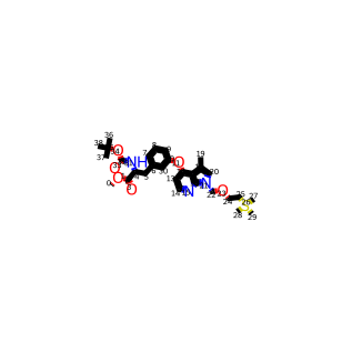 COC(=O)C(Cc1cccc(Oc2ccnc3c2c(C)cn3COCCS(C)(C)C)c1)NC(=O)OC(C)(C)C